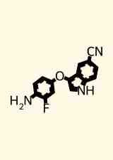 N#Cc1ccc2[nH]cc(Oc3ccc(N)c(F)c3)c2c1